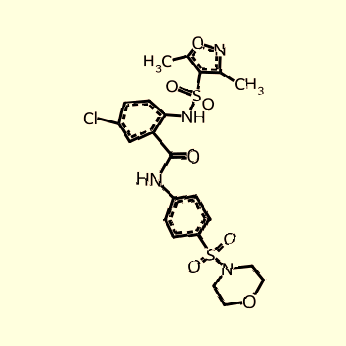 Cc1noc(C)c1S(=O)(=O)Nc1ccc(Cl)cc1C(=O)Nc1ccc(S(=O)(=O)N2CCOCC2)cc1